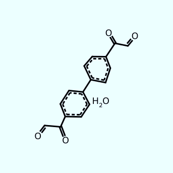 O.O=CC(=O)c1ccc(-c2ccc(C(=O)C=O)cc2)cc1